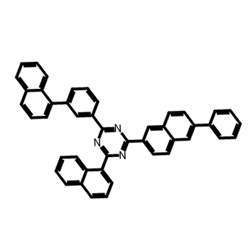 c1ccc(-c2ccc3cc(-c4nc(-c5cccc(-c6cccc7ccccc67)c5)nc(-c5cccc6ccccc56)n4)ccc3c2)cc1